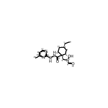 CC[C@H]1CC[C@](CN(O)C=O)(C(=O)NNc2nccc(C)n2)CC1